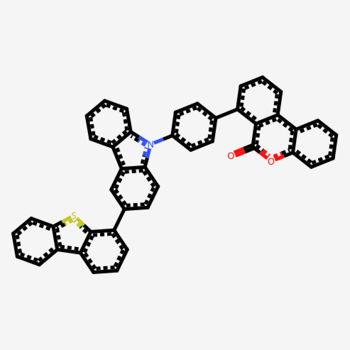 O=c1oc2ccccc2c2cccc(-c3ccc(-n4c5ccccc5c5cc(-c6cccc7c6sc6ccccc67)ccc54)cc3)c12